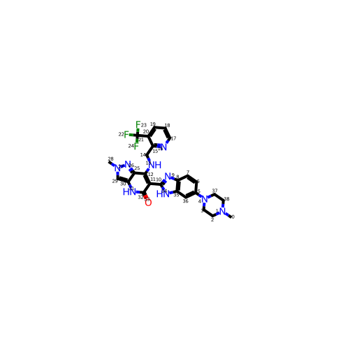 CN1CCN(c2ccc3nc(-c4c(NCc5ncccc5C(F)(F)F)c5nn(C)cc5[nH]c4=O)[nH]c3c2)CC1